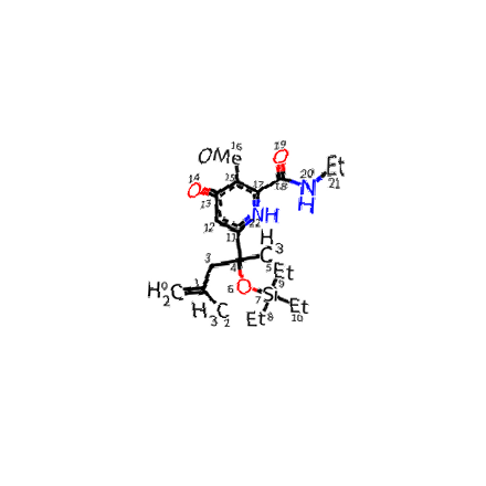 C=C(C)CC(C)(O[Si](CC)(CC)CC)c1cc(=O)c(OC)c(C(=O)NCC)[nH]1